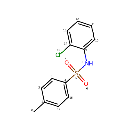 Cc1ccc(S(=O)(=O)Nc2ccccc2Cl)cc1